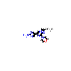 Nc1ncc(-c2cn3cc(C(=O)O)nc3c(N3CCOCC3)n2)cn1